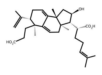 C=C(C)[C@@H]1CC=C2C(=CC[C@]3(C)[C@@H]([C@@H](CCC=C(C)C)C(=O)O)[C@H](O)C[C@@]23C)[C@@]1(C)CCC(=O)O